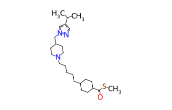 CSC(=O)C1CCC(CCCCCN2CCC(Cn3cc(C(C)C)cn3)CC2)CC1